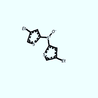 CCc1csc([S+]([O-])c2cc(CC)cs2)c1